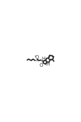 CCCCC[C@@H](CC[C@@H]1C(=O)C[C@@H]2Cc3c(C)cccc3C[C@@H]21)OC